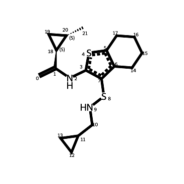 C=C(Nc1sc2c(c1SNCC1CC1)CCCC2)[C@H]1C[C@@H]1C